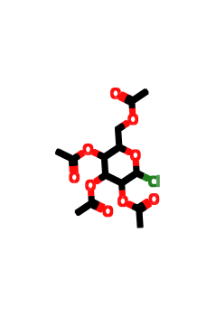 CC(=O)OCC1OC(Cl)C(OC(C)=O)C(OC(C)=O)C1OC(C)=O